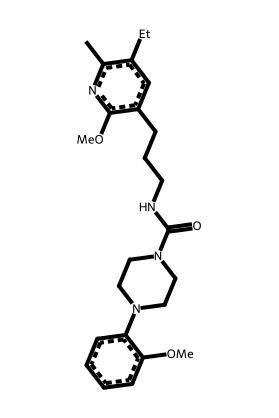 CCc1cc(CCCNC(=O)N2CCN(c3ccccc3OC)CC2)c(OC)nc1C